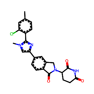 Cc1ccc(-c2nc(-c3ccc4c(c3)CN(C3CCC(=O)NC3=O)C4=O)cn2C)c(Cl)c1